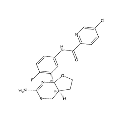 NC1=N[C@@]2(c3cc(NC(=O)c4ccc(Cl)cn4)ccc3F)OCC[C@H]2CS1